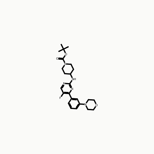 CC(C)(C)OC(=O)N1CCC(Nc2ncc(F)c(-c3cccc(N4CCOCC4)c3)n2)CC1